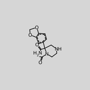 CC(=O)N1CCNCC1(C(N)=O)c1ccc2c(c1)OCO2